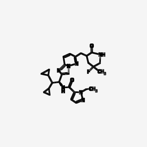 CCn1nccc1C(=O)N[C@H](c1cn2nc(CC3CC(C)(F)CNC3=O)ccc2n1)C(C1CC1)C1CC1